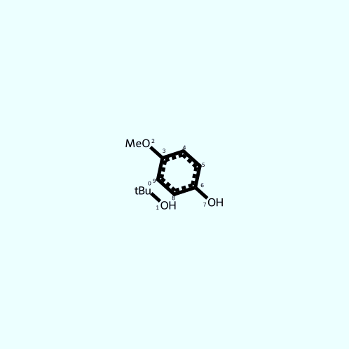 CC(C)(C)O.COc1ccc(O)cc1